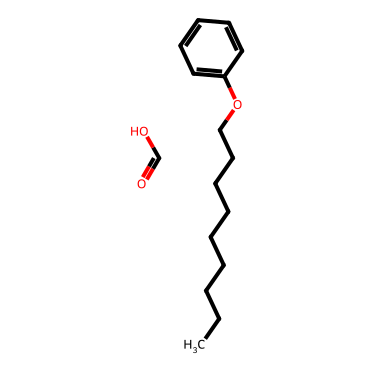 CCCCCCCCCOc1ccccc1.O=CO